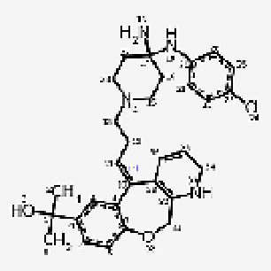 CC(C)(O)c1ccc2c(c1)/C(=C/CCN1CCC(N)(Nc3ccc(Cl)cc3)CC1)C1=C(CO2)NCC=C1